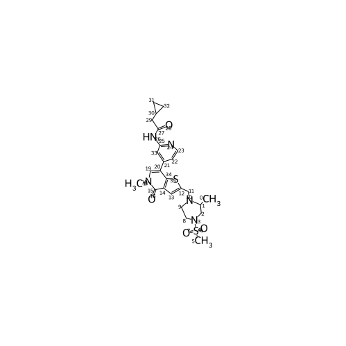 CC1CN(S(C)(=O)=O)CCN1Cc1cc2c(=O)n(C)cc(-c3ccnc(NC(=O)CC4CC4)c3)c2s1